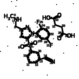 CNCc1cc(S(=O)(=O)c2cccc(C#N)c2)n(-c2cc(F)ccc2F)n1.O=C(O)CCC(=O)O